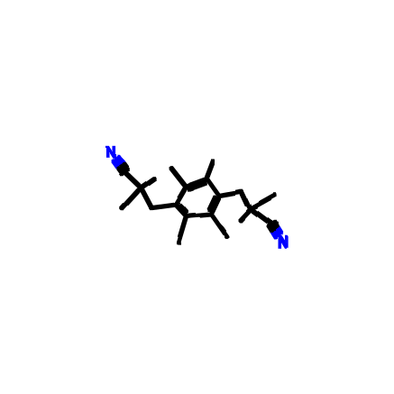 Cc1c(C)c(CC(C)(C)C#N)c(C)c(C)c1CC(C)(C)C#N